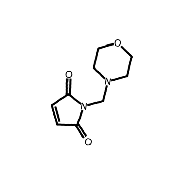 O=C1C=CC(=O)N1CN1CCOCC1